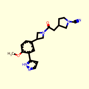 COc1ccc(C2CN(C(=O)CC3CCN(C#N)C3)C2)cc1-c1ccn[nH]1